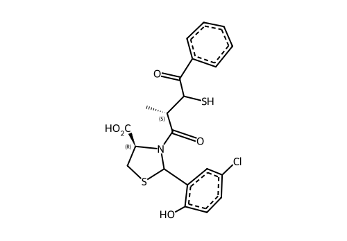 C[C@@H](C(=O)N1C(c2cc(Cl)ccc2O)SC[C@H]1C(=O)O)C(S)C(=O)c1ccccc1